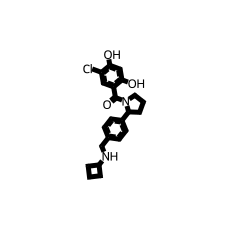 O=C(c1cc(Cl)c(O)cc1O)N1CCCC1c1ccc(CNC2CCC2)cc1